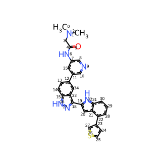 CN(C)CC(=O)Nc1cncc(-c2ccc3[nH]nc(-c4cc5c(-c6ccsc6)cccc5[nH]4)c3c2)c1